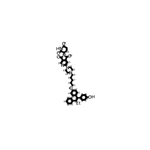 CCC(=C(c1ccc(O)cc1)c1ccc(OCCCCCN2CCN(c3cc4c(cn3)C(=O)N(C3CCC(=O)NC3=O)C4=O)CC2)cc1)c1ccccc1